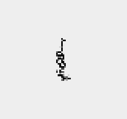 CC(C)CCCCC1CCC2C3CC=C4CC(OC(=O)C(C)(C)CC(C)(C)CN(C)C)CCC4(C)C3CCC12C